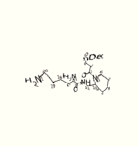 CCCCCCCCCCCCC(=O)N1CCCCC1CNC(=O)[C@H](N)CCCCN